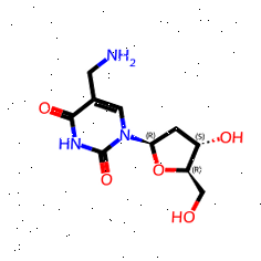 NCc1cn([C@H]2C[C@H](O)[C@@H](CO)O2)c(=O)[nH]c1=O